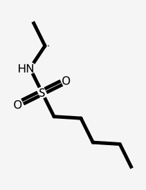 C[CH]NS(=O)(=O)CCCCC